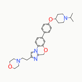 CC(C)N1CCC(Oc2ccc(-c3ccc4c(c3)OCc3nc(CCN5CCOCC5)cn3-4)cc2)CC1